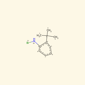 CC(C)(C)c1ccccc1NBr